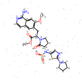 CC(C)OC(=O)[C@@H](Cc1cc2ccnc(N)c2cc1OC(F)(F)F)N1CC[C@H](N(c2cnc(N3CCCC3)s2)[SH](=O)=O)C1=O